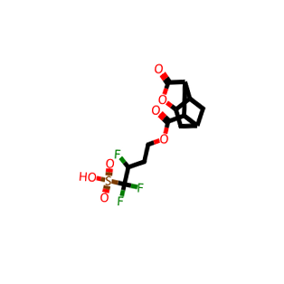 O=C(OCCC(F)C(F)(F)S(=O)(=O)O)C1C2CC3OC(=O)C1C3C2